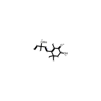 C=CC(C)(/C=C/C1=C(C)C(=O)C(O)CC1(C)C)OC